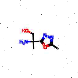 Cc1nnc(C(C)(N)CO)o1